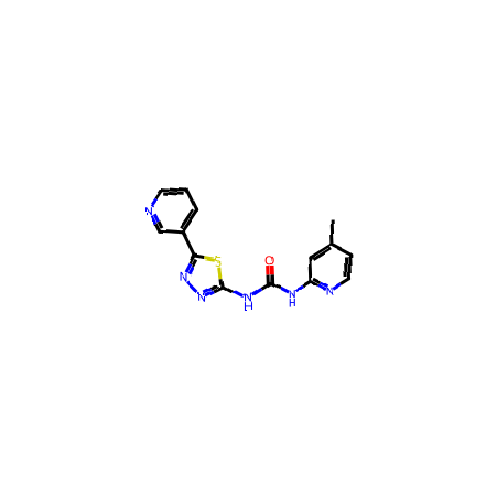 Cc1ccnc(NC(=O)Nc2nnc(-c3cccnc3)s2)c1